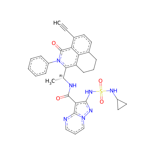 C#Cc1ccc2c3c(c([C@@H](C)NC(=O)c4c(NS(=O)(=O)NC5CC5)nn5cccnc45)n(-c4ccccc4)c(=O)c13)CCC2